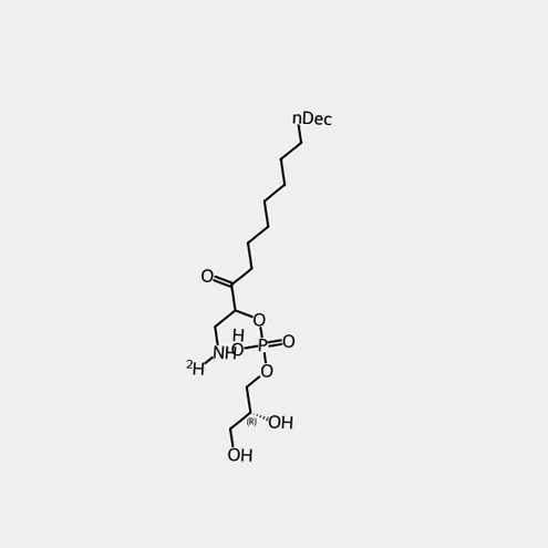 [2H]NCC(OP(=O)(O)OC[C@H](O)CO)C(=O)CCCCCCCCCCCCCCCCC